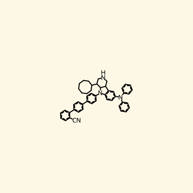 N#Cc1ccccc1-c1ccc(-c2ccc(N3c4ccc(N(c5ccccc5)c5ccccc5)cc4C4CNCC(C5CCCCCCC5)C43)cc2)cc1